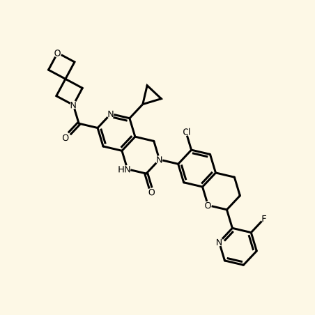 O=C(c1cc2c(c(C3CC3)n1)CN(c1cc3c(cc1Cl)CCC(c1ncccc1F)O3)C(=O)N2)N1CC2(COC2)C1